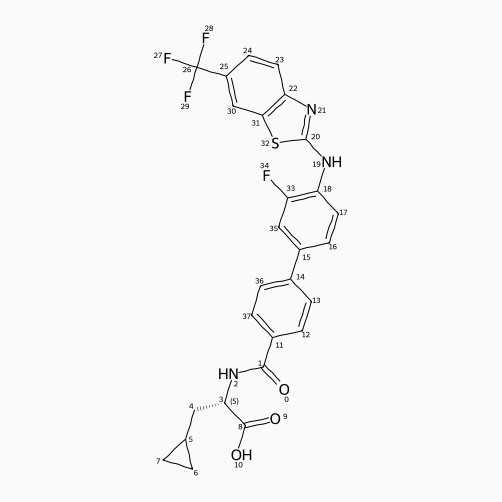 O=C(N[C@@H](CC1CC1)C(=O)O)c1ccc(-c2ccc(Nc3nc4ccc(C(F)(F)F)cc4s3)c(F)c2)cc1